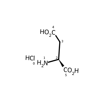 Cl.N[C@@H](CC(=O)O)C(=O)O